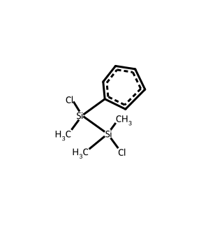 C[Si](C)(Cl)[Si](C)(Cl)c1ccccc1